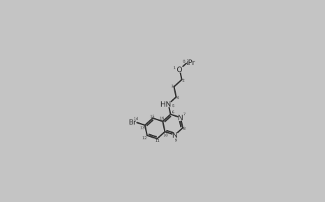 CC(C)OCCCNc1ncnc2ccc(Br)cc12